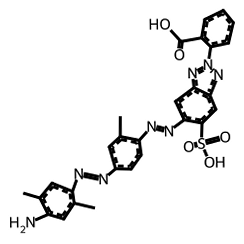 Cc1cc(N=Nc2ccc(N=Nc3cc4nn(-c5ccccc5C(=O)O)nc4cc3S(=O)(=O)O)c(C)c2)c(C)cc1N